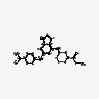 C=CC(=O)N1CCCC(Nc2nc(Nc3ccc(N(C)C)cc3)nc3[nH]ccc23)C1